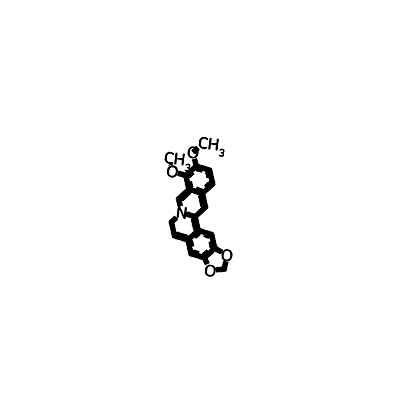 COc1ccc2c(c1OC)=CN1CC=c3cc4c(cc3=C1C=2)OCO4